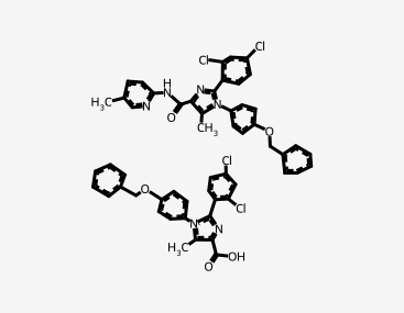 Cc1c(C(=O)O)nc(-c2ccc(Cl)cc2Cl)n1-c1ccc(OCc2ccccc2)cc1.Cc1ccc(NC(=O)c2nc(-c3ccc(Cl)cc3Cl)n(-c3ccc(OCc4ccccc4)cc3)c2C)nc1